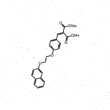 COC(=O)C(=Cc1ccc(OCCOc2ccc3ccccc3c2)cc1)C(=O)OC